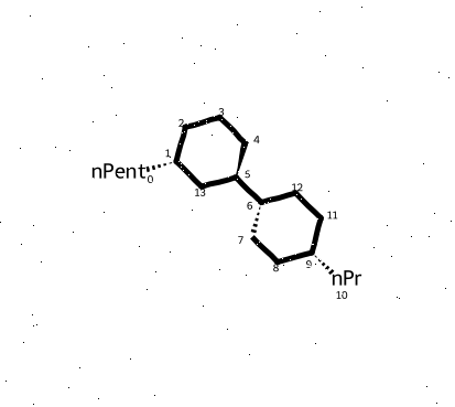 CCCCC[C@@H]1CCC[C@@H]([C@H]2CC[C@@H](CCC)CC2)C1